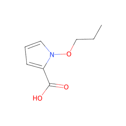 CCCOn1cccc1C(=O)O